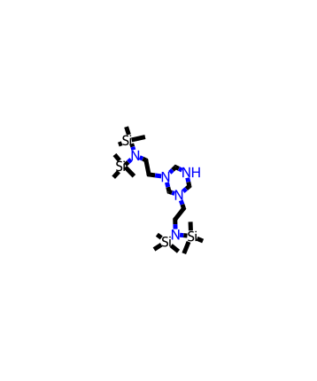 C[Si](C)(C)N(CCN1CNCN(CCN([Si](C)(C)C)[Si](C)(C)C)C1)[Si](C)(C)C